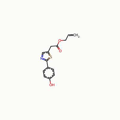 C=CCOC(=O)Cc1cnc(-c2ccc(O)cc2)s1